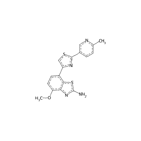 COc1ccc(-c2csc(-c3ccc(C)nc3)n2)c2sc(N)nc12